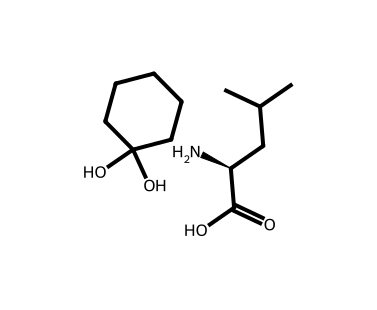 CC(C)C[C@H](N)C(=O)O.OC1(O)CCCCC1